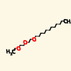 C=COCCOCCOCCCCCCCCCCCC